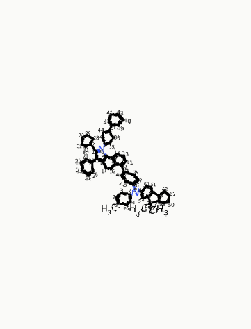 Cc1ccc(N(c2ccc(-c3cccc4c3ccc3c(-c5ccccc5)c(-c5ccccc5)n(-c5ccc(-c6ccccc6)cc5)c34)cc2)c2ccc3c(c2)C(C)(C)c2ccccc2-3)cc1